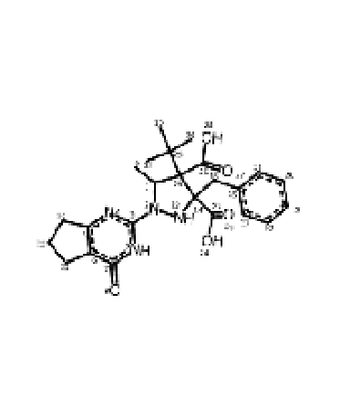 CC1N(c2nc3c(c(=O)[nH]2)CCC3)NC(Cc2ccccc2)(C(=O)O)C1(C(=O)O)C(C)(C)C